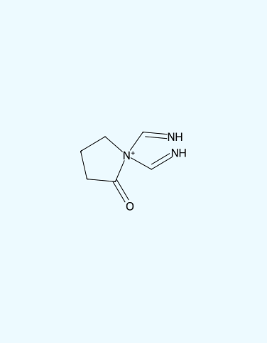 N=C[N+]1(C=N)CCCC1=O